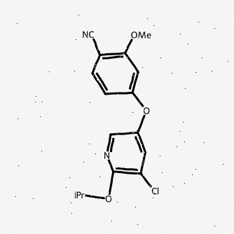 COc1cc(Oc2cnc(OC(C)C)c(Cl)c2)ccc1C#N